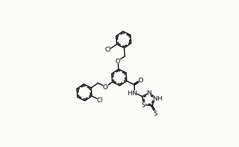 O=C(Nc1n[nH]c(=S)s1)c1cc(OCc2ccccc2Cl)cc(OCc2ccccc2Cl)c1